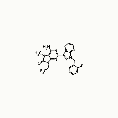 Cn1c(=O)n(CC(F)(F)F)c2nc(-c3nn(Cc4ccccc4F)c4ncccc34)nc(N)c21